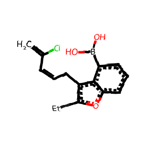 C=C(Cl)/C=C\Cc1c(CC)oc2cccc(B(O)O)c12